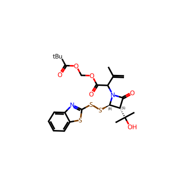 C=C(C)C(C(=O)OCOC(=O)C(C)(C)C)N1C(=O)[C@H](C(C)(C)O)[C@H]1SSc1nc2ccccc2s1